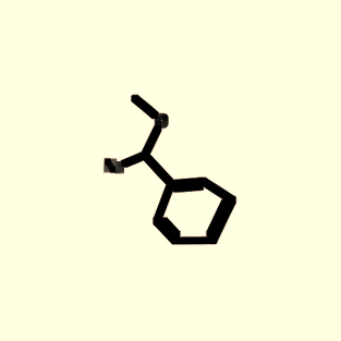 CO[CH]([Na])c1ccccc1